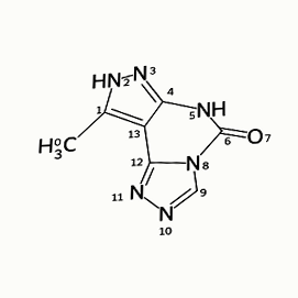 Cc1[nH]nc2[nH]c(=O)n3cnnc3c12